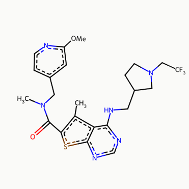 COc1cc(CN(C)C(=O)c2sc3ncnc(NCC4CCN(CC(F)(F)F)C4)c3c2C)ccn1